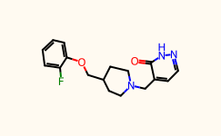 O=c1[nH]nccc1CN1CCC(COc2ccccc2F)CC1